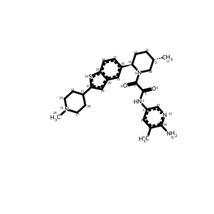 Cc1cc(NC(=O)C(=O)N2C[C@@H](C)CC[C@@H]2c2ccc3sc(C4CCN(C)CC4)cc3c2)cnc1N